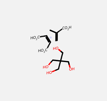 C=C(C)C(=O)O.O=C(O)/C=C\C(=O)O.OCC(CO)(CO)CO